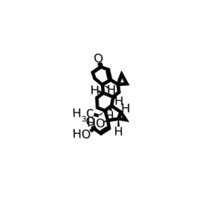 CC[C@]12CC[C@H]3[C@@H](CC4(CC4)C4=CC(=O)CC[C@@H]43)[C@@H]1[C@@H]1C[C@@H]1[C@@]2(O)/C=C\C(=O)O